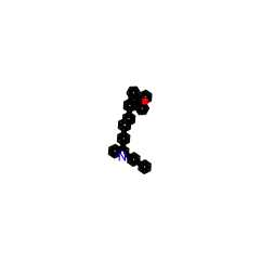 c1ccc(-c2ccc(-c3cc(-c4ccc(-c5ccc6cc(-c7ccc8c(c7)C(c7ccccc7)(c7ccccc7)c7ccccc7-8)ccc6c5)cc4)c4ccccc4n3)cc2)cc1